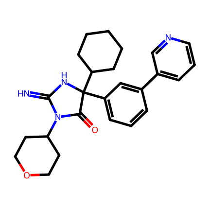 N=C1NC(c2cccc(-c3cccnc3)c2)(C2CCCCC2)C(=O)N1C1CCOCC1